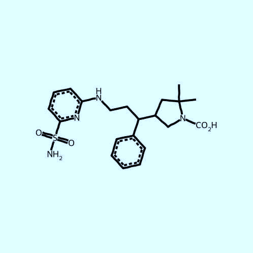 CC1(C)CC(C(CCNc2cccc(S(N)(=O)=O)n2)c2ccccc2)CN1C(=O)O